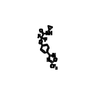 O=C(NC1CC1)C(F)(F)Oc1ccc(-c2noc(C(F)(F)F)n2)cc1